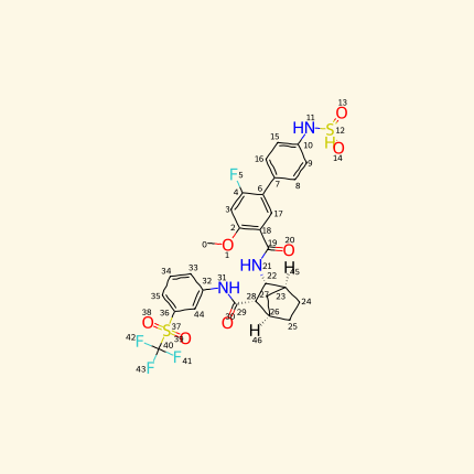 COc1cc(F)c(-c2ccc(N[SH](=O)=O)cc2)cc1C(=O)N[C@@H]1[C@H]2CC[C@H](C2)[C@@H]1C(=O)Nc1cccc(S(=O)(=O)C(F)(F)F)c1